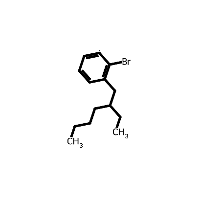 CCCCC(CC)Cc1ccc[c]c1Br